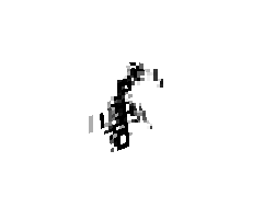 CC(C)(Nc1nc(-c2ccc(CP(C)(=O)O)cc2)cnc1N)c1ccc2ncccc2c1